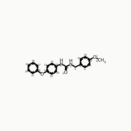 COc1ccc(CNC(=O)Nc2ccc(Oc3ccccc3)cc2)cc1